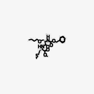 CCCCOC[C@H](NC(=O)OCc1ccccc1)C(=O)N[C@@H](CCSC)C(=O)OC